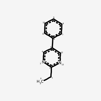 CCc1ncc(-c2ccccc2)cn1